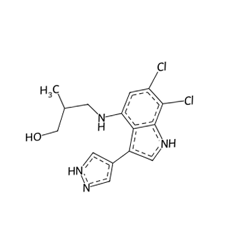 CC(CO)CNc1cc(Cl)c(Cl)c2[nH]cc(-c3cn[nH]c3)c12